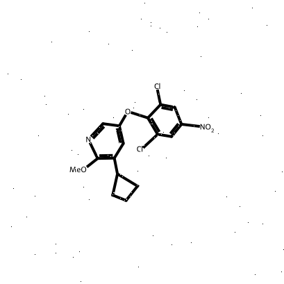 COc1ncc(Oc2c(Cl)cc([N+](=O)[O-])cc2Cl)cc1C1CCC1